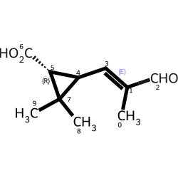 C/C(C=O)=C\C1[C@@H](C(=O)O)C1(C)C